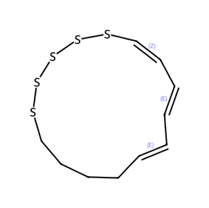 C1=C\SSSSSCCCC/C=C/C=C/1